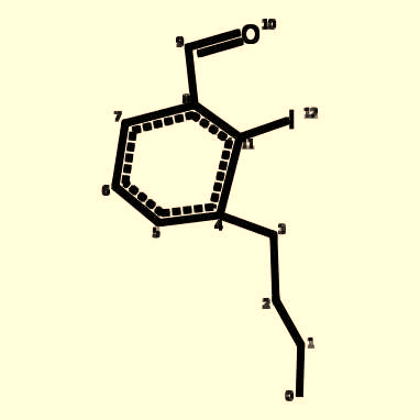 CCCCc1cccc(C=O)c1I